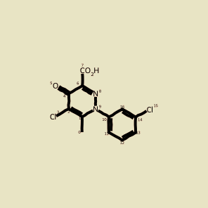 Cc1c(Cl)c(=O)c(C(=O)O)nn1-c1cccc(Cl)c1